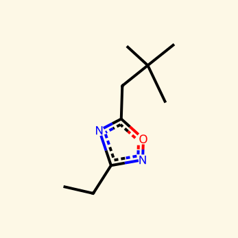 CCc1noc(CC(C)(C)C)n1